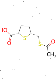 CC(=O)SC[C@H]1CC[C@@H](C(=O)O)S1